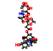 CC(=O)O[C@@H](CC(=O)OC1=CC[C@@]2(O)[C@H]3Cc4ccc(O)c5c4C2(CCN3C)[C@H]1O5)C(O)O[C@@H](C)C(=O)N[C@H](CC(=O)O)C(=O)O